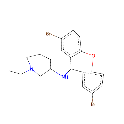 CCN1CCCC(NC2c3cc(Br)ccc3Oc3ccc(Br)cc32)C1